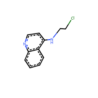 ClCCNc1ccnc2ccccc12